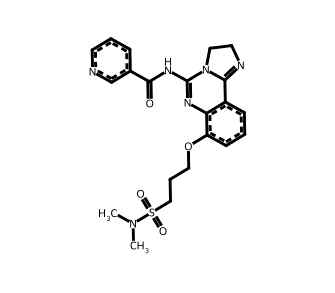 CN(C)S(=O)(=O)CCCOc1cccc2c1N=C(NC(=O)c1cccnc1)N1CCN=C21